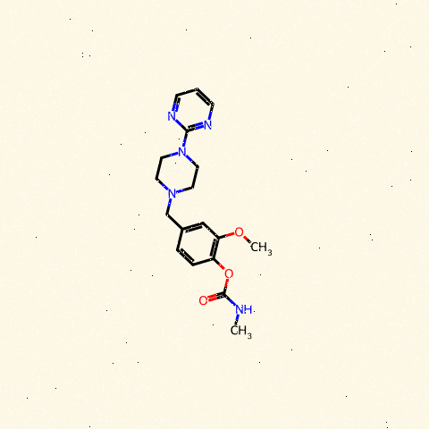 CNC(=O)Oc1ccc(CN2CCN(c3ncccn3)CC2)cc1OC